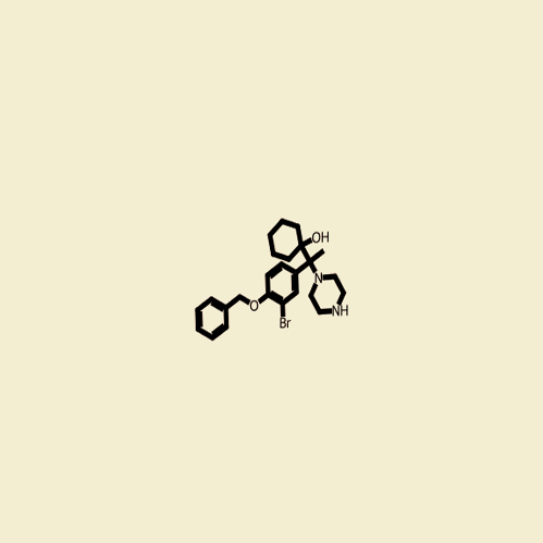 CC(c1ccc(OCc2ccccc2)c(Br)c1)(N1CCNCC1)C1(O)CCCCC1